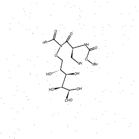 CCCC(=O)N(OC[C@@H](O)[C@@H](O)[C@H](O)[C@@H](O)C=O)C(=O)[C@H](CC(C)C)NC(=O)OC(C)(C)C